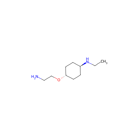 CCN[C@H]1CC[C@H](OCCN)CC1